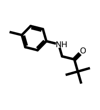 Cc1ccc(NCC(=O)C(C)(C)C)cc1